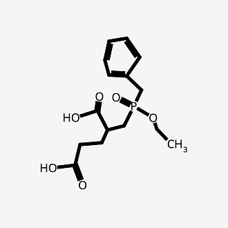 CCOP(=O)(Cc1ccccc1)CC(CCC(=O)O)C(=O)O